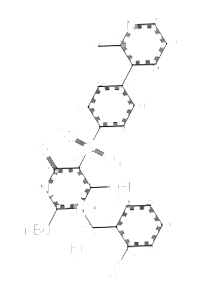 CCCCc1nc(=O)c(S(=O)(=O)c2ccc(-c3cccnc3C)cc2)c(O)n1[C@@H](CC)c1ccccc1F